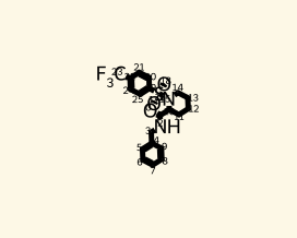 O=C(NCc1ccccc1)C1CCCCN1S(=O)(=O)c1ccc(C(F)(F)F)cc1